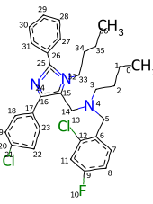 CCCCN(Cc1ccc(F)cc1Cl)Cc1c(-c2ccc(Cl)cc2)nc(-c2ccccc2)n1CCCC